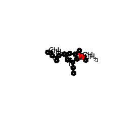 CC1(C)c2ccccc2-c2ccc(-n3c4ccccc4c4cc(-c5ccc6c7ccc(-c8ccc9c(c8)c8ccccc8n9-c8ccc9c(c8)C(C)(C)c8ccccc8-9)cc7n(-c7cccc(-c8nc(-c9ccc(-c%10ccccc%10)cc9)cc(-c9ccc(-c%10ccccc%10)cc9)n8)c7)c6c5)ccc43)cc21